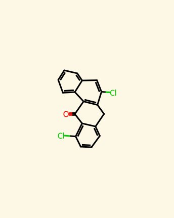 O=C1c2c(Cl)cccc2Cc2c(Cl)cc3ccccc3c21